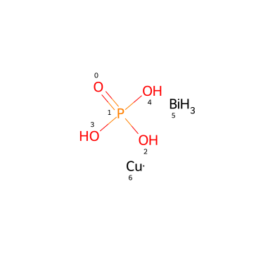 O=P(O)(O)O.[BiH3].[Cu]